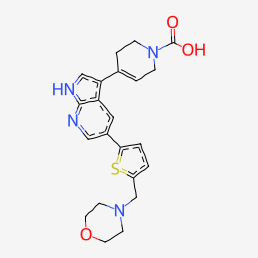 O=C(O)N1CC=C(c2c[nH]c3ncc(-c4ccc(CN5CCOCC5)s4)cc23)CC1